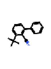 CC(C)(C)c1cccc(-c2ccccc2)c1C#N